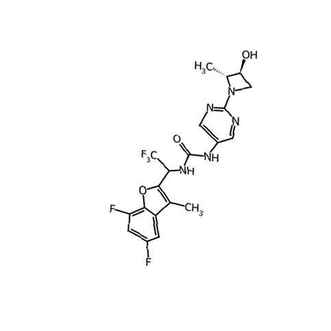 Cc1c(C(NC(=O)Nc2cnc(N3C[C@H](O)[C@H]3C)nc2)C(F)(F)F)oc2c(F)cc(F)cc12